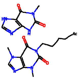 CC(=O)CCCCn1c(=O)c2c(ncn2C)n(C)c1=O.Cn1c(=O)[nH]c2nc[nH]c2c1=O